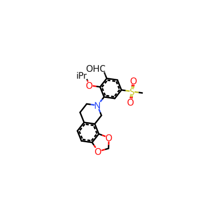 CC(C)Oc1c(C=O)cc(S(C)(=O)=O)cc1N1CCc2ccc3c(c2C1)OCO3